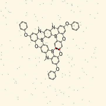 CN1c2cc3c(cc2B2c4ccccc4Oc4cc(Oc5ccccc5)cc1c42)B1c2cc4c(cc2N(C)c2cc(Oc5ccccc5)cc(c21)O3)N(C)c1cc(Oc2ccccc2)cc2c1B4c1ccccc1O2